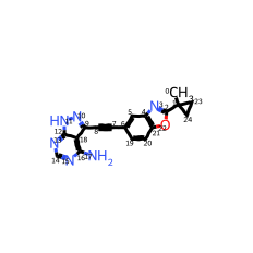 CC1(c2nc3cc(C#Cc4n[nH]c5ncnc(N)c45)ccc3o2)CC1